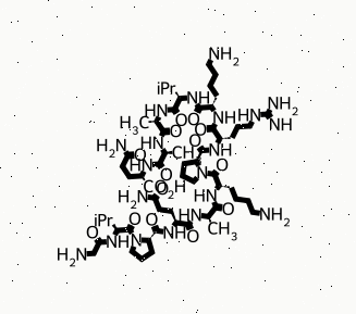 CC(C)[C@H](NC(=O)[C@H](CCCCN)NC(=O)[C@H](CCCNC(=N)N)NC(=O)[C@@H]1CCCN1C(=O)[C@H](CCCCN)NC(=O)[C@H](C)NC(=O)[C@H](CCC(N)=O)NC(=O)[C@@H]1CCCN1C(=O)[C@@H](NC(=O)CN)C(C)C)C(=O)N[C@@H](C)C(=O)N[C@@H](C)C(=O)N[C@@H](CCC(N)=O)C(=O)O